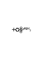 CC(C)(C)c1ccc(S(=O)(=O)CCN)cc1